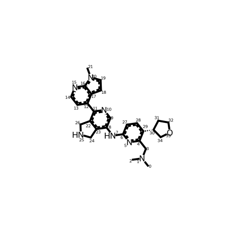 CN(C)Cc1nc(Nc2cnc(-c3ccnc4c3ccn4C)c3c2CNC3)ccc1[C@@H]1CCOC1